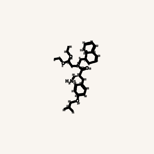 CCOC(CN(CC1CC=Cc2cccnc21)C(=O)[C@@H](CN)Cc1ccc(OCC(C)C)cc1)OCC